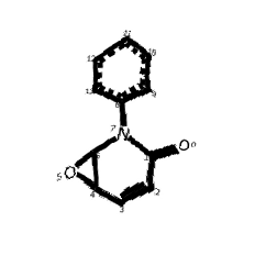 O=C1C=CC2OC2N1c1ccccc1